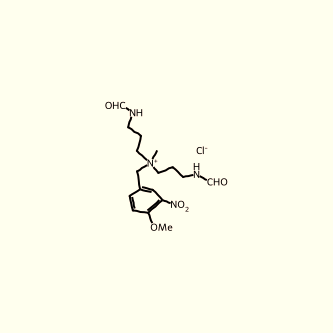 COc1ccc(C[N+](C)(CCCNC=O)CCCNC=O)cc1[N+](=O)[O-].[Cl-]